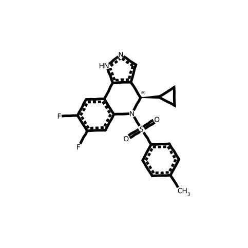 Cc1ccc(S(=O)(=O)N2c3cc(F)c(F)cc3-c3[nH]ncc3[C@H]2C2CC2)cc1